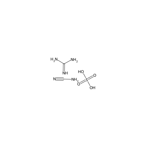 N#CN.N=C(N)N.O=S(=O)(O)O